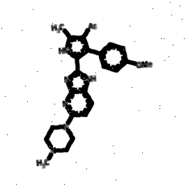 COc1ccc(-c2c(-c3nc4nc(N5CCN(C)CC5)ccc4[nH]3)[nH]c(C)c2C(C)=O)cc1